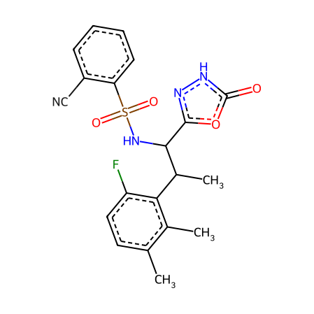 Cc1ccc(F)c(C(C)C(NS(=O)(=O)c2ccccc2C#N)c2n[nH]c(=O)o2)c1C